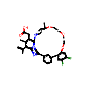 C=C(C)c1c(C)c(CC(=O)O)c2n3cc(nc13)-c1cccc(c1)-c1cc(F)c(F)cc1OCCOCCOC1(C)CCN2CC1